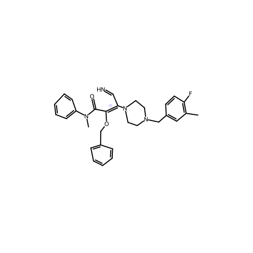 Cc1cc(CN2CCN(/C(C=N)=C(\OCc3ccccc3)C(=O)N(C)c3ccccc3)CC2)ccc1F